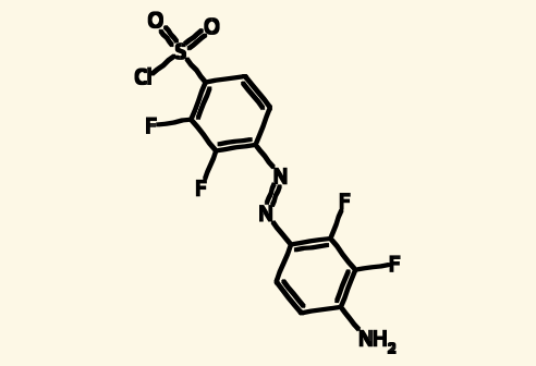 Nc1ccc(/N=N/c2ccc(S(=O)(=O)Cl)c(F)c2F)c(F)c1F